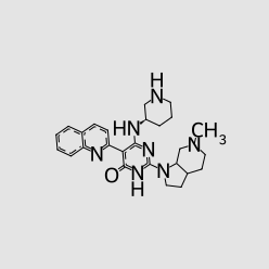 CN1CCC2CCN(c3nc(N[C@@H]4CCCNC4)c(-c4ccc5ccccc5n4)c(=O)[nH]3)C2C1